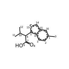 Cc1ccc2c(C(C(=O)O)C(C)C)scc2c1